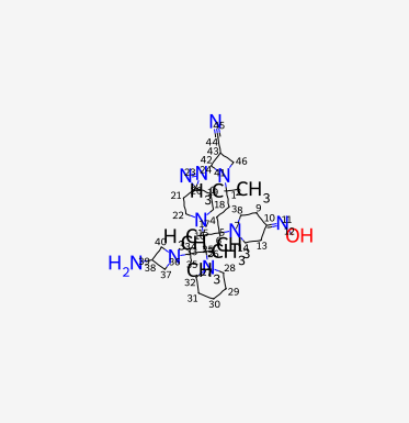 CC(C)(CCC(C)(N1CCC(=NO)CC1)C(C)(N1CCC2(CC1)N=N2)C(C)(N1CCCCC1)C(C)(C)N1CC(N)C1)N1CC(C#N)C1